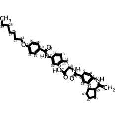 C=C(Nc1ccc(C(=O)N[C@@H](Cc2ccc(NC(=O)c3ccc(OCCCCCCC)cc3)cc2)C(=O)O)cc1)C1CCCC1